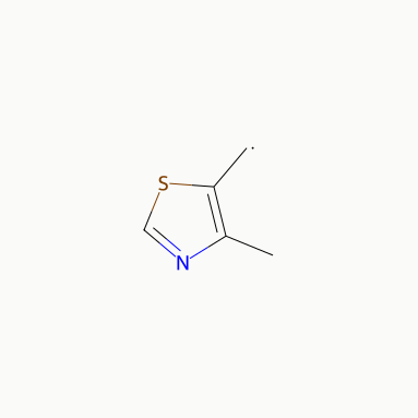 [CH2]c1scnc1C